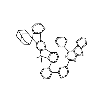 C[Si]1(C)c2cc3c(cc2-c2cccc(-c4ccccc4-c4cccc(-c5nc(-c6ccccc6)c6c(n5)oc5ccccc56)c4)c21)-c1ccccc1C31C2CC3CC(C2)CC1C3